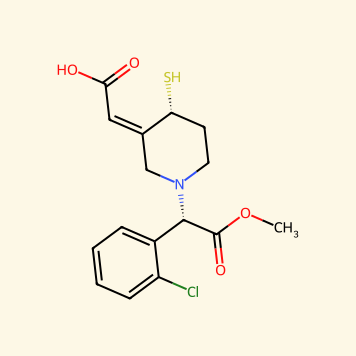 COC(=O)[C@H](c1ccccc1Cl)N1CC[C@@H](S)/C(=C\C(=O)O)C1